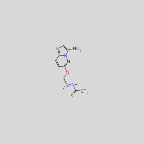 C[C@H](COc1ccc2ncc([N+](=O)[O-])n2n1)NC(=S)C(F)(F)F